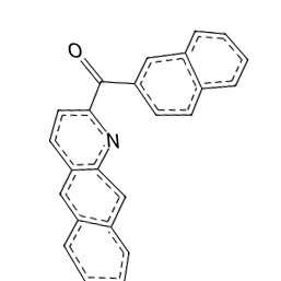 O=C(c1ccc2ccccc2c1)c1ccc2cc3ccccc3cc2n1